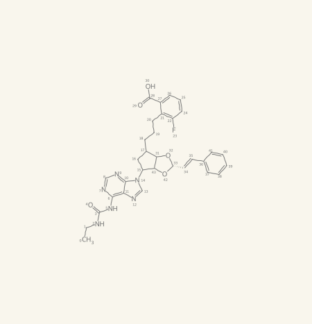 CCNC(=O)Nc1ncnc2c1ncn2C1CC(CCCc2c(F)cccc2C(=O)O)C2O[C@H](/C=C/c3ccccc3)OC21